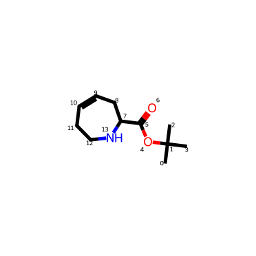 CC(C)(C)OC(=O)C1CC=CCCN1